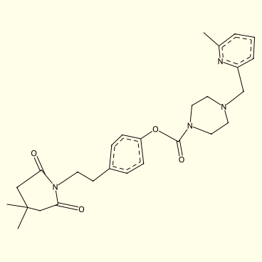 Cc1cccc(CN2CCN(C(=O)Oc3ccc(CCN4C(=O)CC(C)(C)CC4=O)cc3)CC2)n1